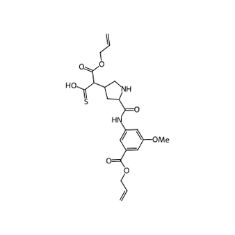 C=CCOC(=O)c1cc(NC(=O)C2CC(C(C(=O)OCC=C)C(O)=S)CN2)cc(OC)c1